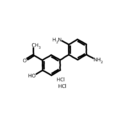 CC(=O)c1cc(-c2cc(N)ccc2N)ccc1O.Cl.Cl